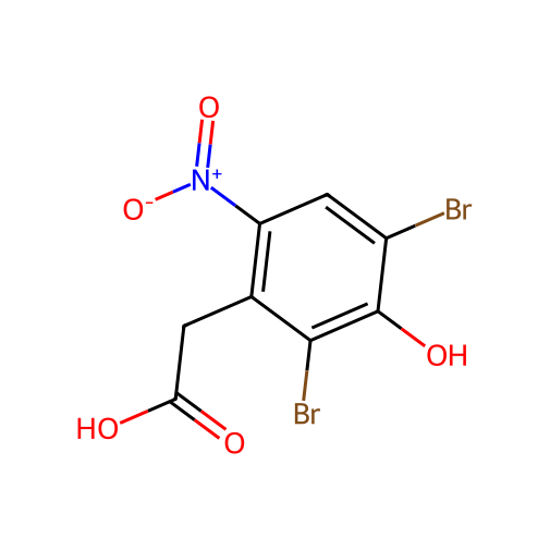 O=C(O)Cc1c([N+](=O)[O-])cc(Br)c(O)c1Br